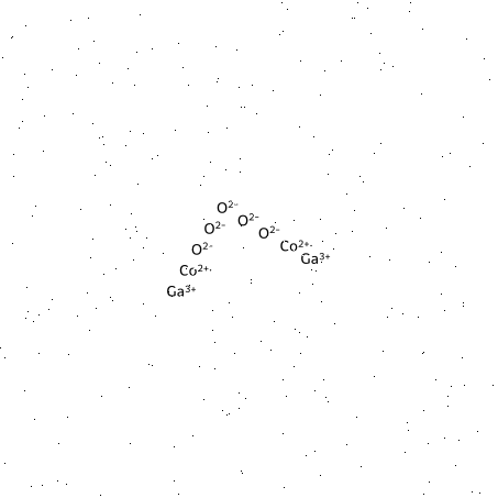 [Co+2].[Co+2].[Ga+3].[Ga+3].[O-2].[O-2].[O-2].[O-2].[O-2]